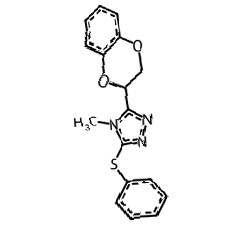 Cn1c(Sc2ccccc2)nnc1C1COc2ccccc2O1